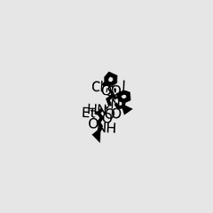 CCC(NC(=O)[C@@H]1C[C@@H](S(=O)(=O)c2ccccc2Cl)CN1C(=O)C1(c2ccc(I)cc2)CC1)C(=O)C(=O)NC1CC1